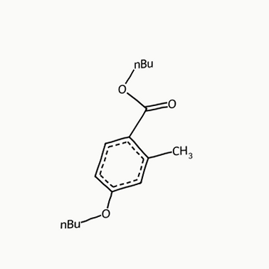 [CH2+][CH-]CCOc1ccc(C(=O)OCCCC)c(C)c1